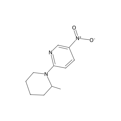 CC1CCCCN1c1ccc([N+](=O)[O-])cn1